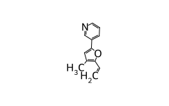 C=Cc1oc(-c2cccnc2)cc1C